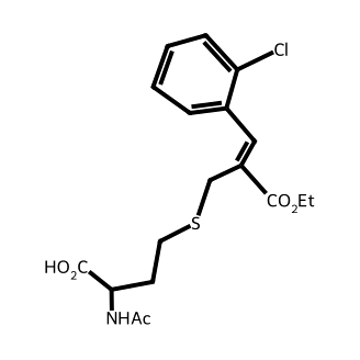 CCOC(=O)C(=Cc1ccccc1Cl)CSCCC(NC(C)=O)C(=O)O